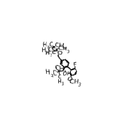 COc1ccc(F)c(-c2ccc(CO[Si](C)(C)C(C)(C)C)cc2C(O)C(C)(C)C)c1